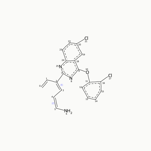 C=C/C(=C\C=C/N)c1nc(Oc2ccccc2Cl)c2cc(Cl)ccc2n1